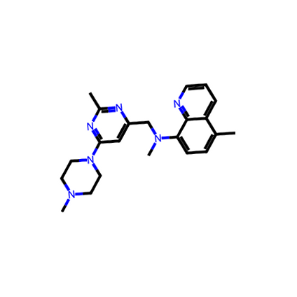 Cc1nc(CN(C)c2ccc(C)c3cccnc23)cc(N2CCN(C)CC2)n1